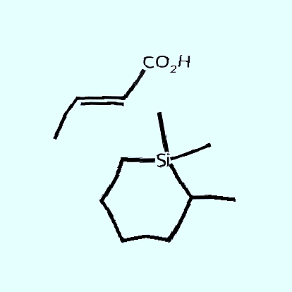 CC1CCCC[Si]1(C)C.CC=CC(=O)O